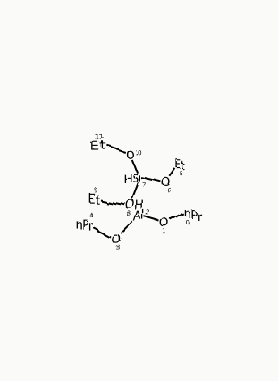 CCC[O][AlH][O]CCC.CCO[SiH](OCC)OCC